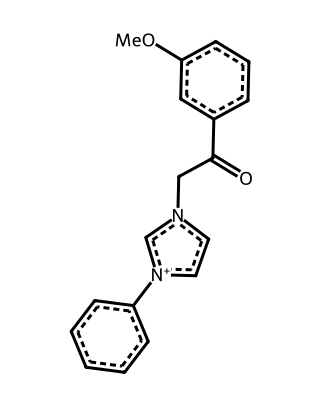 COc1cccc(C(=O)Cn2cc[n+](-c3ccccc3)c2)c1